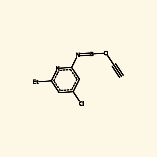 C#CO/B=N/c1cc(Cl)cc(CC)n1